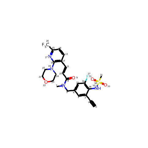 C#Cc1cc(CN(C)C(=O)/C=C/c2ccc(C(F)(F)F)nc2N2CCOCC2)cc(F)c1NS(C)(=O)=O